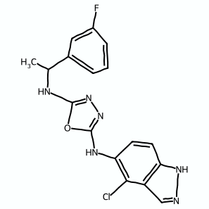 CC(Nc1nnc(Nc2ccc3[nH]ncc3c2Cl)o1)c1cccc(F)c1